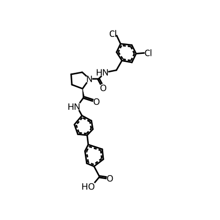 O=C(O)c1ccc(-c2ccc(NC(=O)[C@H]3CCCN3C(=O)NCc3cc(Cl)cc(Cl)c3)cc2)cc1